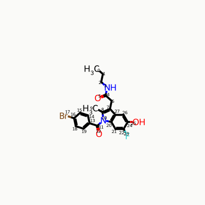 CCCNC(=O)Cc1c(C)n(C(=O)c2ccc(Br)cc2)c2cc(F)c(O)cc12